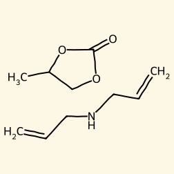 C=CCNCC=C.CC1COC(=O)O1